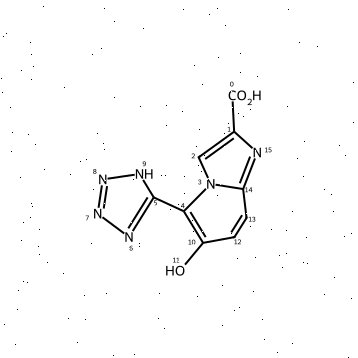 O=C(O)c1cn2c(-c3nnn[nH]3)c(O)ccc2n1